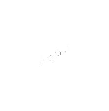 C=C(C)C(=O)Oc1ccc(-c2c(COC)cc(OC(=O)C(=C)C)cc2COC)c(F)c1